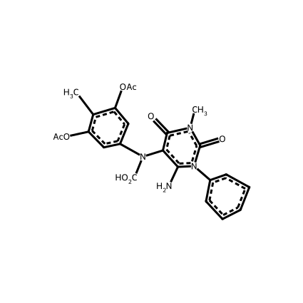 CC(=O)Oc1cc(N(C(=O)O)c2c(N)n(-c3ccccc3)c(=O)n(C)c2=O)cc(OC(C)=O)c1C